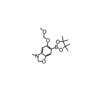 COCOc1cc2c(cc1B1OC(C)(C)C(C)(C)O1)OCN2C